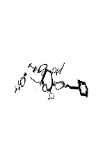 CO[C@@H]1O[C@H](CO)[C@@H](O)[C@H](O)[C@H]1OCc1ccccc1